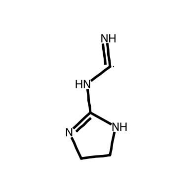 N=[C]NC1=NCCN1